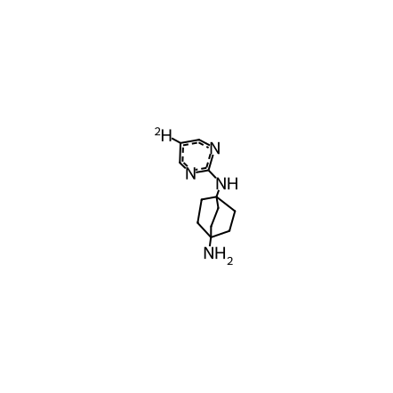 [2H]c1cnc(NC23CCC(N)(CC2)CC3)nc1